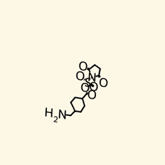 NCC1CCC(C(=O)OS(=O)(=O)N2C(=O)CCC2=O)CC1